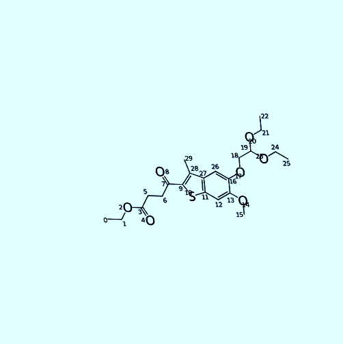 CCOC(=O)CCC(=O)c1sc2cc(OC)c(OCC(OCC)OCC)cc2c1C